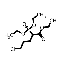 CCOC(=O)C(CCCCl)P(=O)(OCC)OCC